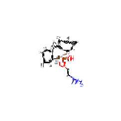 NCCOS1(O)c2ccccc2-c2ccccc21